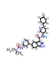 CN(C)C(=O)Nc1cncc(-c2ccc3[nH]nc(C(=O)Nc4ccc(-c5ccc(F)cc5)nc4)c3c2)c1